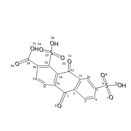 O=C1c2ccc(S(=O)(=O)O)cc2C(=O)c2c1ccc(C(=O)O)c2S(=O)(=O)O